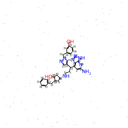 Nc1cc(C(CCN[C@@H]2C[C@@H](Cc3ccccc3)[C@H](O)C2)c2cnn(Cc3cccc(O)c3)c2)c2nn[nH]c2n1